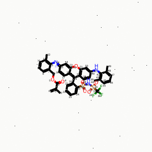 C=C(C)C(=O)OCc1cccc(C)c1/N=c1\ccc2c(-c3ccccc3S(=O)(=O)NS(=O)(=O)C(F)(F)F)c3ccc(Nc4c(C)cccc4C)cc3oc-2c1